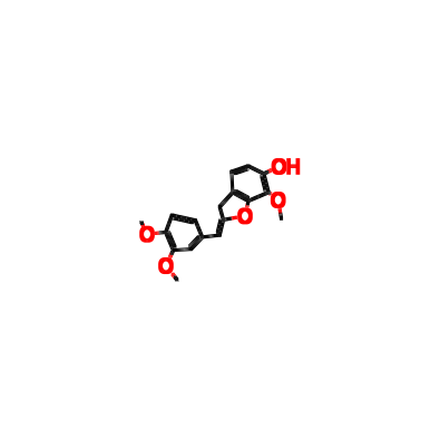 COc1ccc(C=C2Cc3ccc(O)c(OC)c3O2)cc1OC